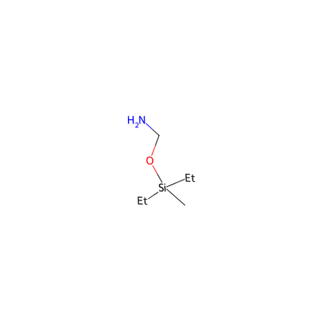 CC[Si](C)(CC)OCN